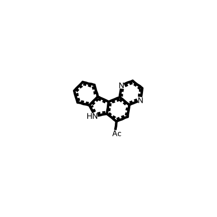 CC(=O)c1cc2nccnc2c2c1[nH]c1ccccc12